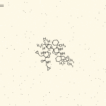 CC1([C@H](NC(=O)NC2(CS(=O)(=O)C(C)(C)C)CCCCC2)C(=O)N2C[C@H]3[C@@H]([C@H]2C(=O)NC(CC2CC2)C(=O)C(=O)NCC2CC2)C3(C)C)CCCCC1